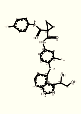 O=C(Nc1ccc(F)cc1)C1(C(=O)Nc2ccc(Oc3ccnc4[nH]nc(C(O)CO)c34)c(F)c2)CC1